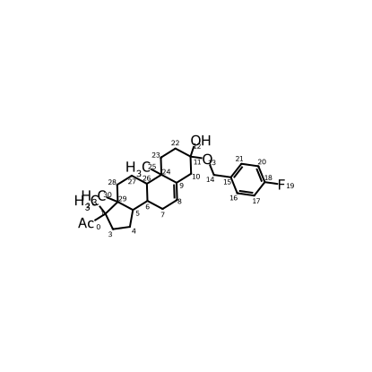 CC(=O)C1(C)CCC2C3CC=C4CC(O)(OCc5ccc(F)cc5)CCC4(C)C3CCC21C